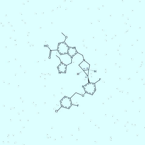 CCn1cncc1Cn1c(CN2C[C@@H]3[C@H](C2)[C@@H]3c2nc(OCc3ccc(Cl)cc3F)ccc2F)nc2c(OC)cc(C(=O)O)cc21